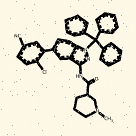 CN1CCCC(C(=O)Nc2nn(C(c3ccccc3)(c3ccccc3)c3ccccc3)c3ccc(-c4cc(C#N)ccc4Cl)cc23)C1